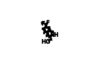 OC[C@@H]1Cc2ccc(C(F)F)cc2CN1